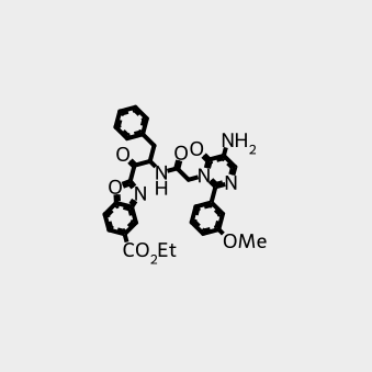 CCOC(=O)c1ccc2oc(C(=O)C(Cc3ccccc3)NC(=O)Cn3c(-c4cccc(OC)c4)ncc(N)c3=O)nc2c1